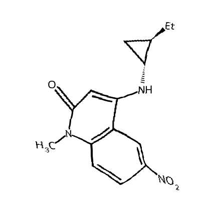 CC[C@@H]1C[C@H]1Nc1cc(=O)n(C)c2ccc([N+](=O)[O-])cc12